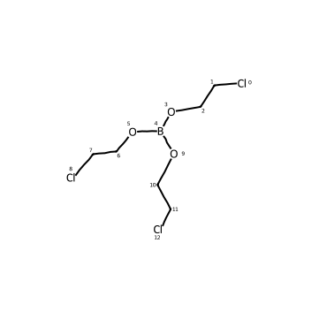 ClCCOB(OCCCl)OCCCl